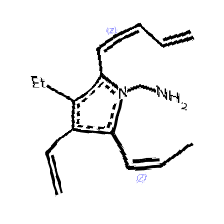 C=C/C=C\c1c(CC)c(C=C)c(/C=C\C)n1N